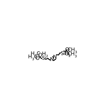 COC(C[SiH2]CCCN1CCN(CCC[SiH2]CC(OC)OC)C1)OC